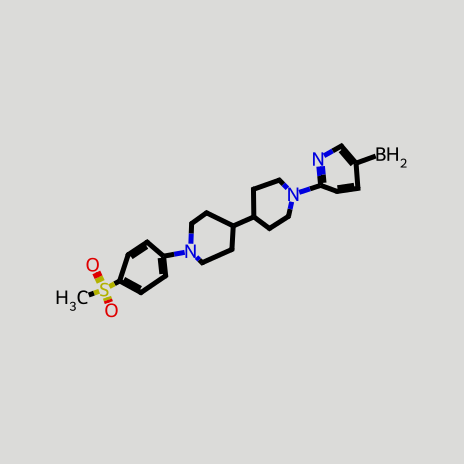 Bc1ccc(N2CCC(C3CCN(c4ccc(S(C)(=O)=O)cc4)CC3)CC2)nc1